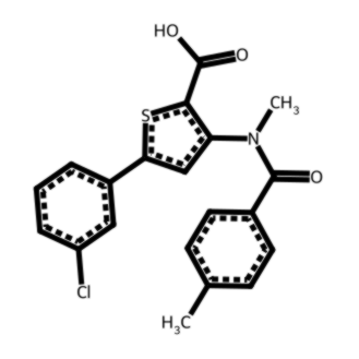 Cc1ccc(C(=O)N(C)c2cc(-c3cccc(Cl)c3)sc2C(=O)O)cc1